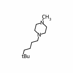 CN1CCN(CCCCC(C)(C)C)CC1